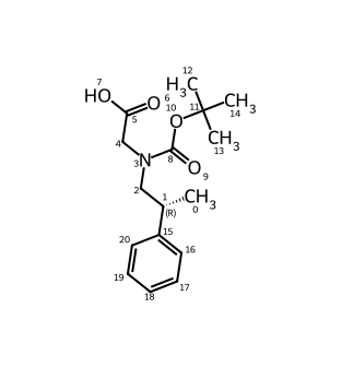 C[C@@H](CN(CC(=O)O)C(=O)OC(C)(C)C)c1ccccc1